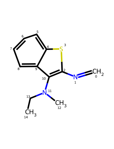 C=Nc1sc2ccccc2c1N(C)CC